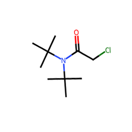 CC(C)(C)N(C(=O)CCl)C(C)(C)C